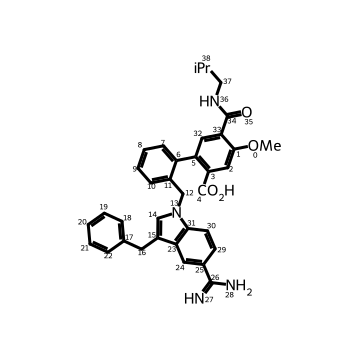 COc1cc(C(=O)O)c(-c2ccccc2Cn2cc(Cc3ccccc3)c3cc(C(=N)N)ccc32)cc1C(=O)NCC(C)C